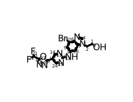 OCCn1cnc2c(Br)cc(Nc3ncc(-c4nnc(C(F)F)o4)cn3)cc21